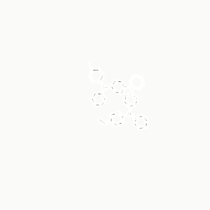 C=Cc1ccc(N(c2ccccc2)c2ccc(C3(c4ccc(N(C5=CC=C(C)CC5)c5ccccc5)cc4)CCCCC3)cc2)cc1